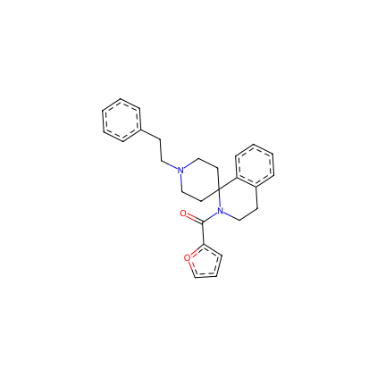 O=C(c1ccco1)N1CCc2ccccc2C12CCN(CCc1ccccc1)CC2